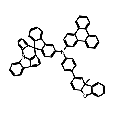 CC12C=C(c3ccc(N(c4ccc5c(c4)-c4ccccc4C54c5ccccc5-n5c6ccccc6c6cccc4c65)c4ccc5c6ccccc6c6ccccc6c5c4)cc3)C=CC1Oc1ccccc12